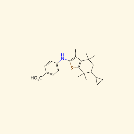 Cc1c(Nc2ccc(C(=O)O)cc2)sc2c1C(C)(C)CC(C1CC1)C2(C)C